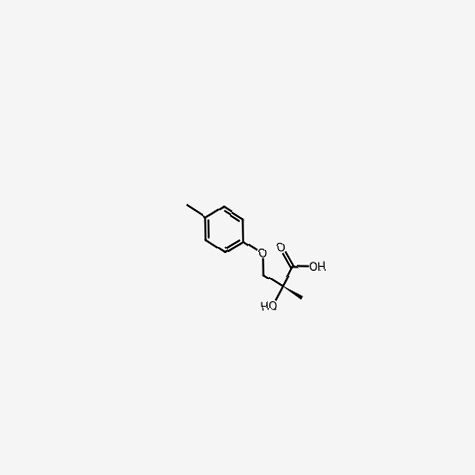 Cc1ccc(OC[C@@](C)(O)C(=O)O)cc1